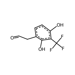 O=CCc1ccc(O)c(C(F)(F)F)c1O